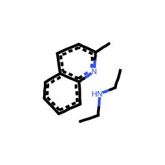 CCNCC.Cc1ccc2ccccc2n1